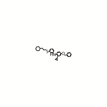 c1ccc(COc2ccc(Nc3cccc(SCCCC4CCCCC4)c3)c(C3CC3)c2)cc1